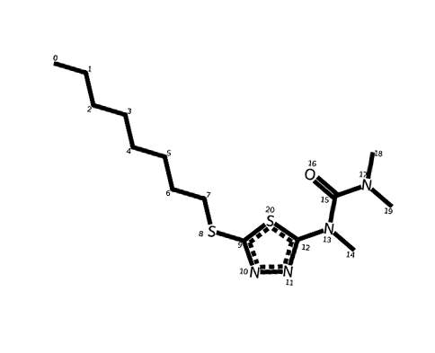 CCCCCCCCSc1nnc(N(C)C(=O)N(C)C)s1